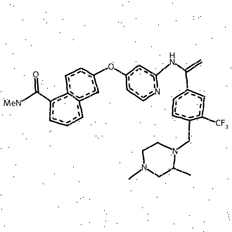 C=C(Nc1cc(Oc2ccc3c(C(=O)NC)cccc3c2)ccn1)c1ccc(CN2CCN(C)CC2C)c(C(F)(F)F)c1